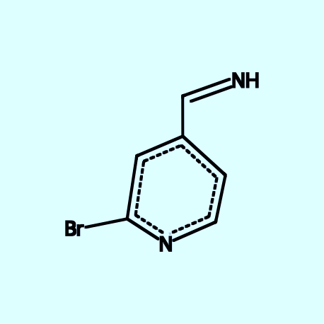 N=Cc1ccnc(Br)c1